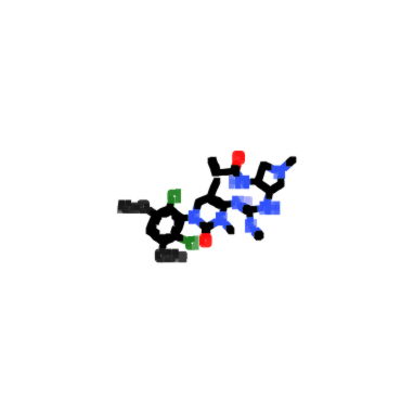 C=CC(=O)NC1CN(C)CC1N/C(N=C)=N/C1=C(C)CN(c2c(Cl)c(OC)cc(OC)c2Cl)C(=O)N1C